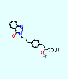 CCOC(Cc1ccc(CCCn2cnc3ccccc3c2=O)cc1)C(=O)O